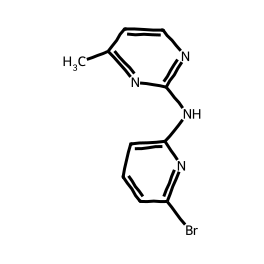 Cc1ccnc(Nc2cccc(Br)n2)n1